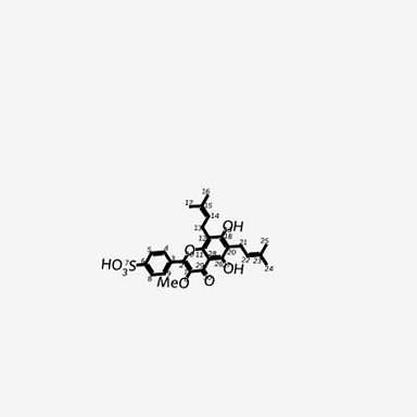 COc1c(-c2ccc(S(=O)(=O)O)cc2)oc2c(CC=C(C)C)c(O)c(CC=C(C)C)c(O)c2c1=O